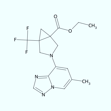 CCOC(=O)C12CN(c3cc(C)cn4ncnc34)CC1(C(F)(F)F)C2